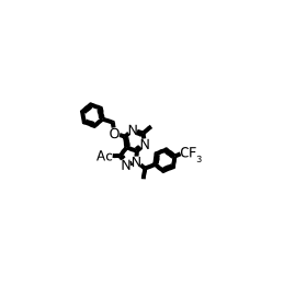 CC(=O)c1nn(C(C)c2ccc(C(F)(F)F)cc2)c2nc(C)nc(OCc3ccccc3)c12